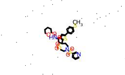 CSc1ccc(-c2ccc(C3(CC(=O)NOC4CCCCO4)CCN(S(=O)(=O)c4cccnc4)CCS3(=O)=O)s2)cc1